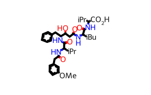 CCC(C)C(NC(=O)CC(O)C(Cc1ccccc1)NC(=O)C(NC(=O)Cc1cccc(OC)c1)C(C)C)C(=O)NC(C(=O)O)C(C)C